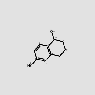 N#Cc1ccc2c(n1)CCCC2O